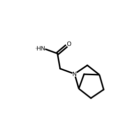 [NH]C(=O)CN1CC2CCC1C2